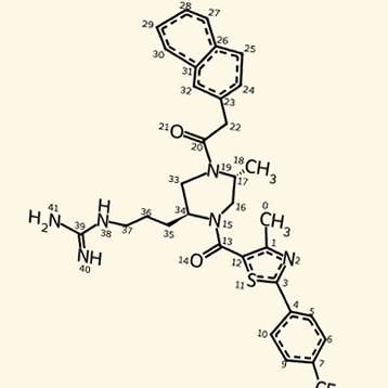 Cc1nc(-c2ccc(C(F)(F)F)cc2)sc1C(=O)N1C[C@@H](C)N(C(=O)Cc2ccc3ccccc3c2)C[C@@H]1CCCNC(=N)N